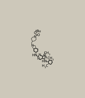 Cc1cccc(C)c1Nc1nn(C)c2nc(Nc3ccc4c(c3)CN(CC3CCN(C(=O)OC(C)(C)C)CC3)C4)ncc12